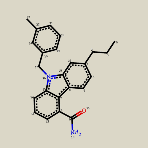 CCCc1c[c]c2c3c(C(N)=O)cccc3n(Cc3cccc(C)c3)c2c1